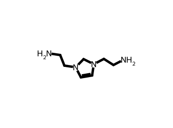 NCCN1C=CN(CCN)C1